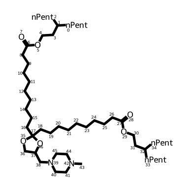 CCCCCC(CCCCC)CCOC(=O)CCCCCCCCCC1(CCCCCCCCCC(=O)OCCC(CCCCC)CCCCC)OCC(CN2CCN(C)CC2)O1